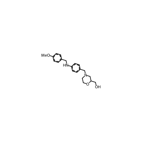 COc1ccc(CNc2ccc(CN3CCOC(CO)C3)cc2)cc1